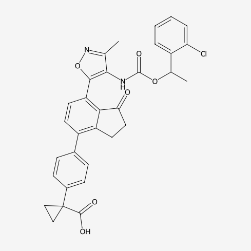 Cc1noc(-c2ccc(-c3ccc(C4(C(=O)O)CC4)cc3)c3c2C(=O)CC3)c1NC(=O)OC(C)c1ccccc1Cl